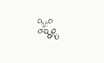 c1ccc(-c2nc(-c3ccccc3)nc(-n3c4ccccc4c4cc(-c5cccc6c5c5ccccc5n6-c5ccccn5)ccc43)n2)cc1